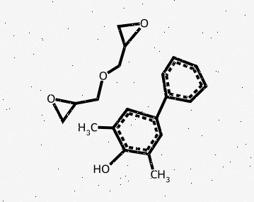 C(OCC1CO1)C1CO1.Cc1cc(-c2ccccc2)cc(C)c1O